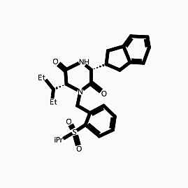 CCC(CC)[C@@H]1C(=O)N[C@H](C2Cc3ccccc3C2)C(=O)N1Cc1ccccc1S(=O)(=O)C(C)C